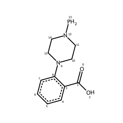 O=C(O)c1ccccc1N1CCN(P)CC1